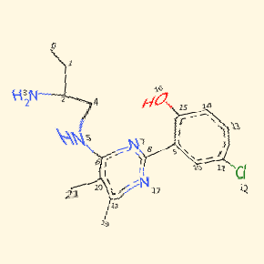 CCC(N)CNc1nc(-c2cc(Cl)ccc2O)nc(C)c1C